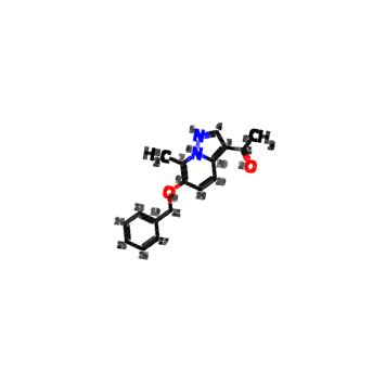 CC(=O)c1cnn2c(C)c(OCc3ccccc3)ccc12